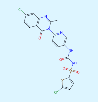 Cc1nc2cc(Cl)ccc2c(=O)n1-c1ccc(NC(=O)NS(=O)(=O)c2ccc(Cl)s2)cn1